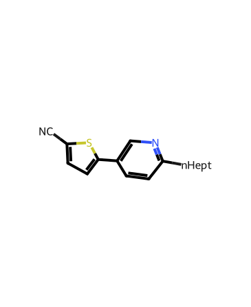 CCCCCCCc1ccc(-c2ccc(C#N)s2)cn1